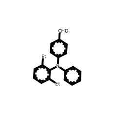 CCc1cccc(CC)c1N(c1ccccc1)c1ccc(C=O)cc1